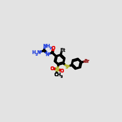 CCc1cc(Sc2ccc(Br)cc2)c(S(C)(=O)=O)cc1C(=O)N=C(N)N